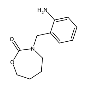 Nc1ccccc1CN1CCCCOC1=O